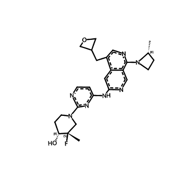 C[C@@H]1CCN1c1ncc(CC2COC2)c2cc(Nc3ccnc(N4CC[C@@H](O)[C@@](C)(F)C4)n3)ncc12